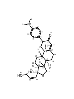 CN(C)c1ccc(C2C[C@H]3C(=CC2=O)CC[C@@H]2[C@@H]3CC[C@@]3(C)[C@H]2CC[C@@]3(O)/C=C\CO)cc1